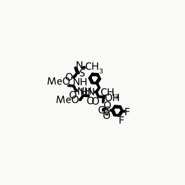 COCC(NC(=O)c1cnc(C)s1)C(=O)NC(COC)C(=O)NC(Cc1ccccc1)C(=O)C(C)(O)COS(=O)(=O)c1ccc(F)c(F)c1